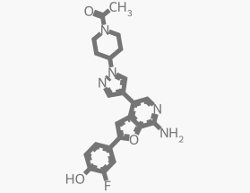 CC(=O)N1CCC(n2cc(-c3cnc(N)c4oc(-c5ccc(O)c(F)c5)cc34)cn2)CC1